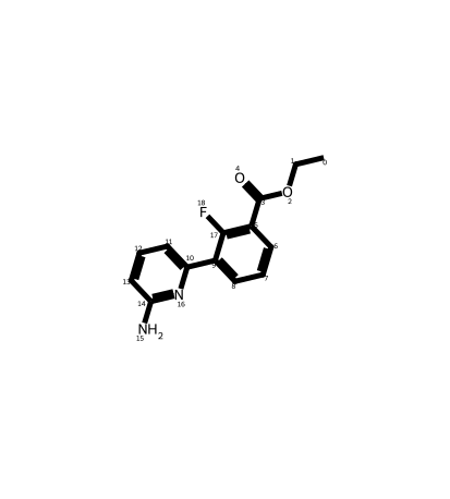 CCOC(=O)c1cccc(-c2cccc(N)n2)c1F